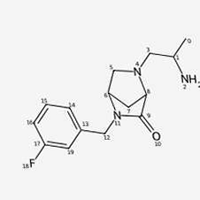 CC(N)CN1CC2CC1C(=O)N2Cc1cccc(F)c1